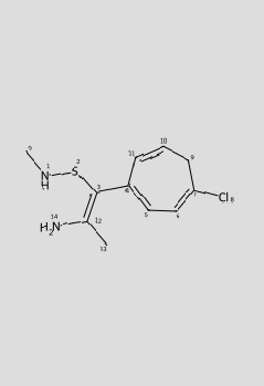 CNS/C(C1=CC=C(Cl)CC=C1)=C(/C)N